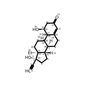 C#C[C@]1(O)CC[C@H]2[C@@H]3CCC4=CC(=O)C[C@H](O)[C@@H]4[C@H]3CC[C@@]21CC